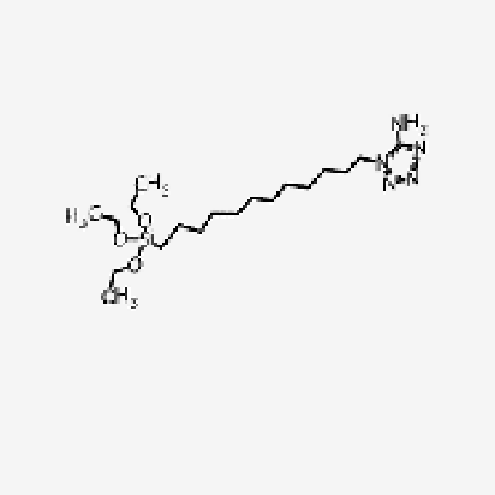 CCO[Si](CCCCCCCCCCCCn1nnnc1N)(OCC)OCC